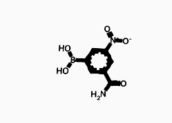 NC(=O)c1cc(B(O)O)cc([N+](=O)[O-])c1